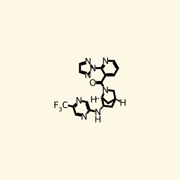 O=C(c1cccnc1-n1nccn1)N1C[C@@H]2C[C@@H](Nc3cnc(C(F)(F)F)cn3)[C@@H]1C2